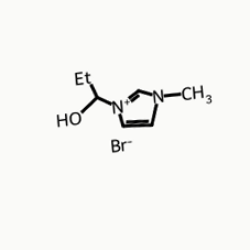 CCC(O)[n+]1ccn(C)c1.[Br-]